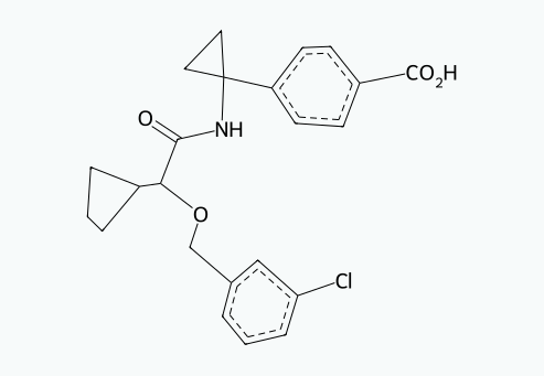 O=C(O)c1ccc(C2(NC(=O)C(OCc3cccc(Cl)c3)C3CCC3)CC2)cc1